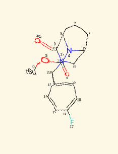 CC(C)(C)OC(=O)N1C2CCC1C(=O)N(Cc1ccc(F)cc1)C2